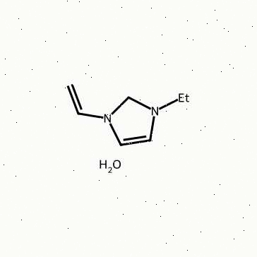 C=CN1C=CN(CC)C1.O